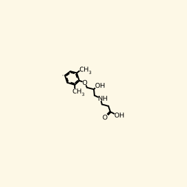 Cc1c[c]cc(C)c1OCC(O)CNCCC(=O)O